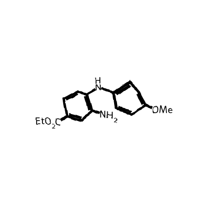 CCOC(=O)c1ccc(Nc2ccc(OC)cc2)c(N)c1